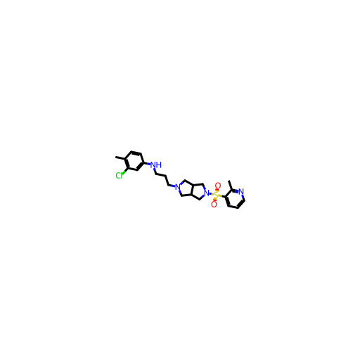 Cc1ccc(NCCCN2CC3CN(S(=O)(=O)c4cccnc4C)CC3C2)cc1Cl